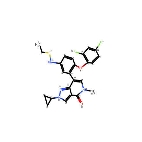 CCSNc1ccc(Oc2ccc(F)cc2F)c(-c2cn(C)c(=O)c3cn(C4CC4)nc23)c1